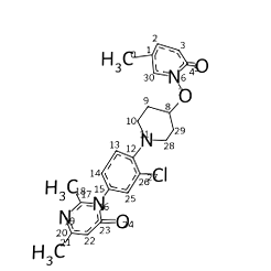 Cc1ccc(=O)n(OC2CCN(c3ccc(-n4c(C)nc(C)cc4=O)cc3Cl)CC2)c1